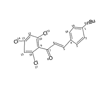 CCCCc1ccc(C=CC(=O)c2c(Cl)cc(Cl)cc2Cl)cc1